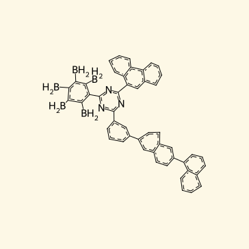 Bc1c(B)c(B)c(-c2nc(-c3cccc(-c4ccc5cc(-c6cccc7ccccc67)ccc5c4)c3)nc(-c3cc4ccccc4c4ccccc34)n2)c(B)c1B